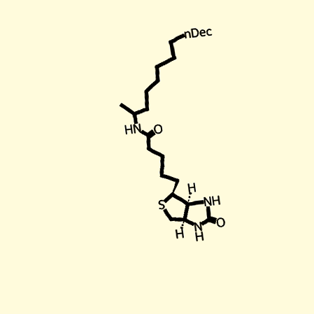 CCCCCCCCCCCCCCCCC(C)NC(=O)CCCC[C@@H]1SC[C@@H]2NC(=O)N[C@@H]21